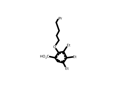 CCc1cc(C(=O)O)c(OCCCCC(C)C)c(CC)c1CC